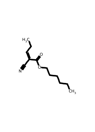 CCC=C(C#N)C(=O)OCCCCCC